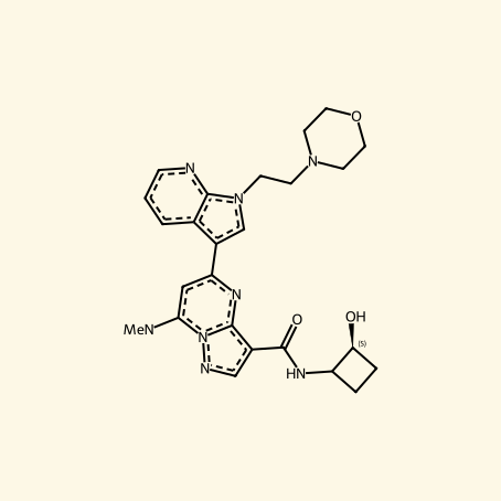 CNc1cc(-c2cn(CCN3CCOCC3)c3ncccc23)nc2c(C(=O)NC3CC[C@@H]3O)cnn12